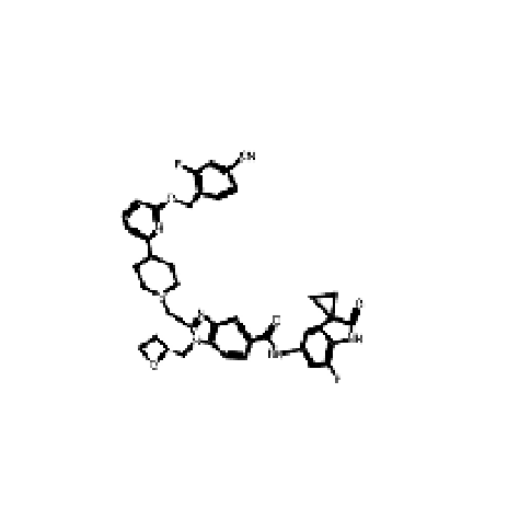 N#Cc1ccc(COc2cccc(C3CCN(Cc4nc5cc(C(=O)Nc6cc(F)c7c(c6)C6(CC6)C(=O)N7)ccc5n4C[C@@H]4CCO4)CC3)n2)c(F)c1